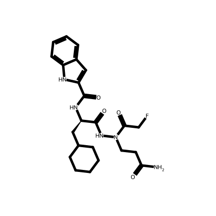 NC(=O)CCN(NC(=O)[C@@H](CC1CCCCC1)NC(=O)c1cc2ccccc2[nH]1)C(=O)CF